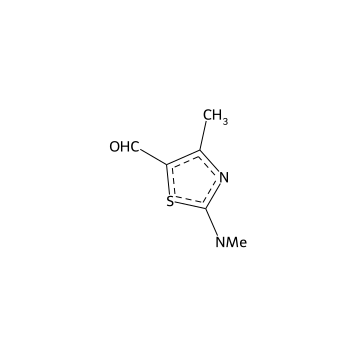 CNc1nc(C)c(C=O)s1